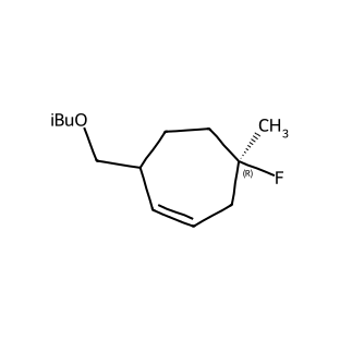 CC(C)COCC1C=CC[C@](C)(F)CC1